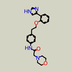 O=C(CN1CCOCC1)Nc1ccc(CCOc2ccccc2-c2c[nH]cn2)cc1